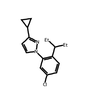 CCC(CC)c1ccc(Cl)cc1-n1ccc(C2CC2)n1